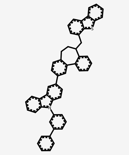 c1ccc(-c2cccc(-n3c4ccccc4c4cc(-c5ccc6c(c5)-c5ccccc5C(Cc5cccc7c5sc5ccccc57)CC6)ccc43)c2)cc1